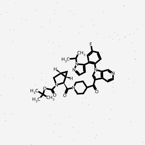 CC(C)n1nccc1-c1cc(F)ccc1-n1cc(C(=O)C2CCN(C(=O)[C@@H]3[C@H]4C[C@H]4CN3C(=O)OC(C)(C)C)CC2)c2ccncc21